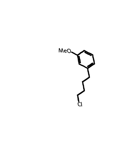 COc1cccc(CCCCCl)c1